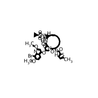 CCOc1cc(O[C@@H]2C[C@H]3C(=O)N[C@]4(C(=O)NS(=O)(=O)C5CC5)C[C@H]4C=CCCCCC[C@H](NC(=O)c4ccc(C)s4)C(=O)N3C2)c2ccc(OC)c(Br)c2n1